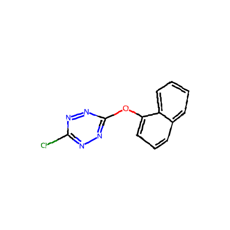 Clc1nnc(Oc2cccc3ccccc23)nn1